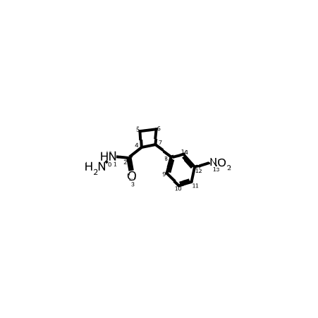 NNC(=O)C1CCC1c1cccc([N+](=O)[O-])c1